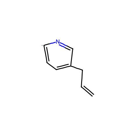 C=CCc1cc[c]nc1